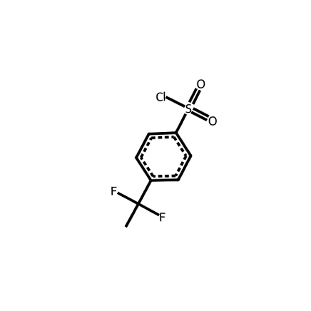 CC(F)(F)c1ccc(S(=O)(=O)Cl)cc1